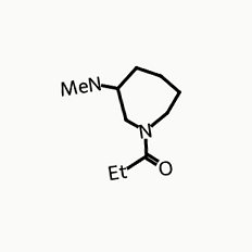 CCC(=O)N1CCCCC(NC)C1